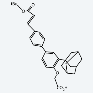 CC(C)(C)OC(=O)C=Cc1ccc(-c2ccc(OCC(=O)O)c(C34CC5CC(CC(C5)C3)C4)c2)cc1